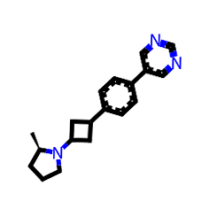 C[C@@H]1CCCN1C1CC(c2ccc(-c3cncnc3)cc2)C1